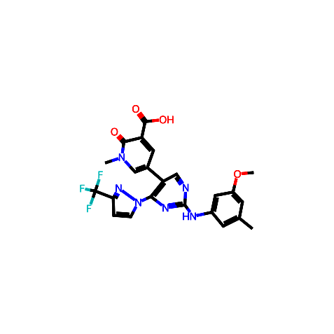 COc1cc(C)cc(Nc2ncc(-c3cc(C(=O)O)c(=O)n(C)c3)c(-n3ccc(C(F)(F)F)n3)n2)c1